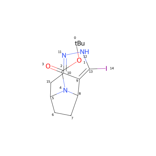 CC(C)(C)OC(=O)N1C2CCC1c1c(n[nH]c1I)C2